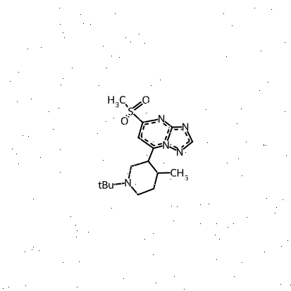 CC1CCN(C(C)(C)C)CC1c1cc(S(C)(=O)=O)nc2ncnn12